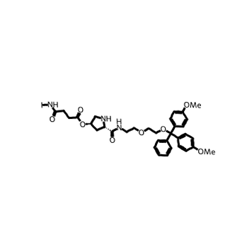 COc1ccc(C(OCCOCCNC(=O)[C@@H]2C[C@@H](OC(=O)CCC(=O)NI)CN2)(c2ccccc2)c2ccc(OC)cc2)cc1